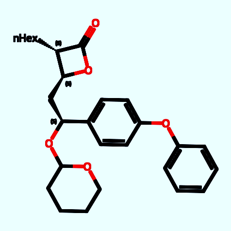 CCCCCC[C@@H]1C(=O)O[C@H]1C[C@H](OC1CCCCO1)c1ccc(Oc2ccccc2)cc1